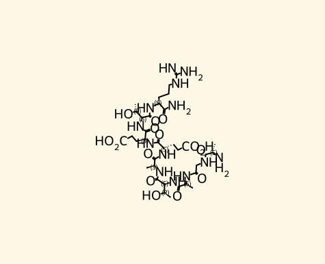 C[C@H](N)C(=O)NCC(=O)N[C@@H](C)C(=O)N[C@H](C(=O)N[C@@H](C)C(=O)N[C@@H](CCC(=O)O)C(=O)N[C@@H](CCC(=O)O)C(=O)N[C@H](C(=O)N[C@@H](CCCNC(=N)N)C(N)=O)[C@@H](C)O)[C@@H](C)O